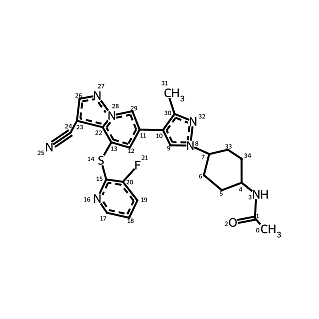 CC(=O)NC1CCC(n2cc(-c3cc(Sc4ncccc4F)c4c(C#N)cnn4c3)c(C)n2)CC1